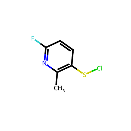 Cc1nc(F)ccc1SCl